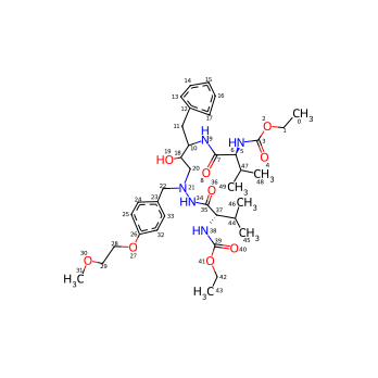 CCOC(=O)N[C@H](C(=O)NC(Cc1ccccc1)C(O)CN(Cc1ccc(OCCOC)cc1)NC(=O)[C@@H](NC(=O)OCC)C(C)C)C(C)C